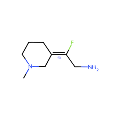 CN1CCC/C(=C(\F)CN)C1